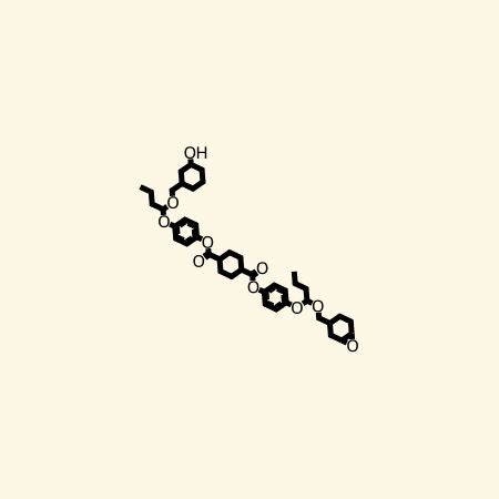 CCCC(OCC1CCCC(O)C1)Oc1ccc(OC(=O)C2CCC(C(=O)Oc3ccc(OC(CCC)OCC4CCC5OC5C4)cc3)CC2)cc1